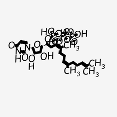 CC(C)=CCCC(C)=CCCC(C)=CCC(OP(=O)(O)OP(=O)(O)OP(=O)(O)O)[C@H]1O[C@@H](n2ccc(=O)[nH]c2=O)[C@H](O)[C@@H]1O